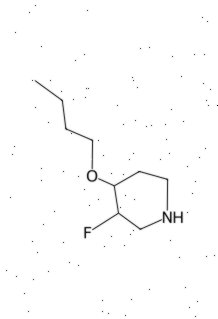 CCCCOC1CCNCC1F